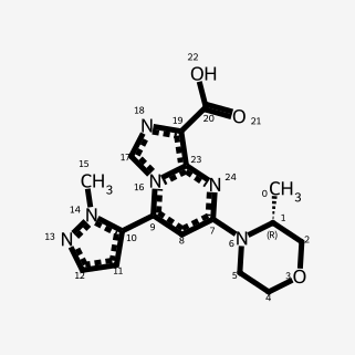 C[C@@H]1COCCN1c1cc(-c2ccnn2C)n2cnc(C(=O)O)c2n1